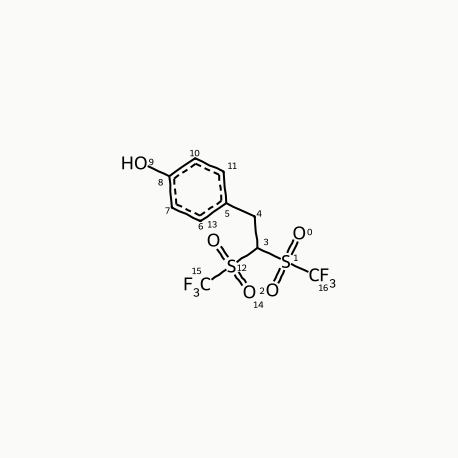 O=S(=O)(C(Cc1ccc(O)cc1)S(=O)(=O)C(F)(F)F)C(F)(F)F